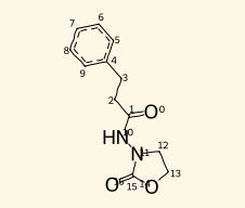 O=C(CCc1ccccc1)NN1CCOC1=O